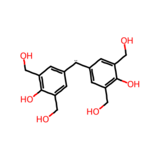 OCc1cc([C]c2cc(CO)c(O)c(CO)c2)cc(CO)c1O